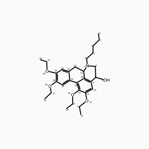 CCCCCN1CC(O)c2cc(OCC)c(OCC)c3c2C1Cc1cc(OCC)c(OCC)cc1-3